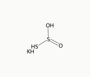 O=S(O)S.[KH]